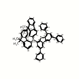 CC1(C)c2ccccc2-c2ccc(N(c3cccc4c3-c3ccccc3C4(C)C)c3cc(-c4ccccc4)cc4c3sc3c(-c5ccccc5)cc(-c5ccccc5)cc34)cc21